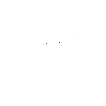 CCCCOC(=O)NC(Cc1ccccc1)C(=O)NC(CC(C)C)C(=O)O